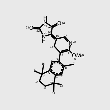 COC1=C(c2cc3c(cc2C)C(C)(C)CCC3(C)C)CC(=C2NC(=O)NC2=O)C=N1